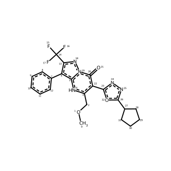 COCc1[nH]c2c(-c3ccccc3)c(C(F)(F)F)nn2c(=O)c1-c1nnc(C2CCCC2)o1